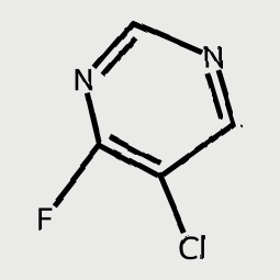 Fc1ncn[c]c1Cl